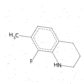 Cc1ccc2c(c1F)NCCC2